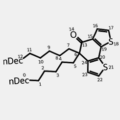 CCCCCCCCCCCCCCCC1(CCCCCCCCCCCCCCC)C(=O)c2ccsc2-c2sccc21